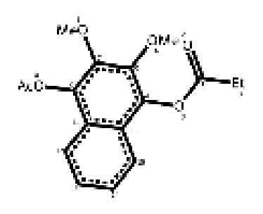 CCC(=O)Oc1c(OC)c(OC)c(OC(C)=O)c2ccccc12